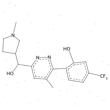 Cc1cc(C(O)C2CCN(C)C2)nnc1-c1ccc(C(F)(F)F)cc1O